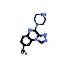 FC(F)(F)c1ccc2nc(N3CCNCC3)c3nncn3c2c1